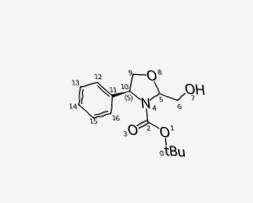 CC(C)(C)OC(=O)N1C(CO)OC[C@@H]1c1ccccc1